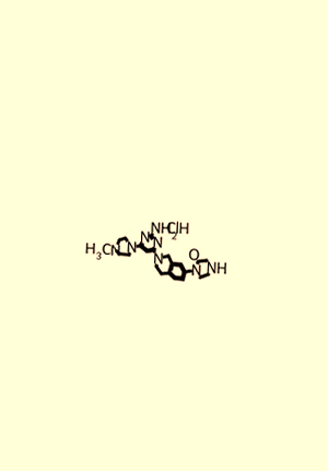 CN1CCN(c2cc(N3CCc4ccc(N5CCNCC5=O)cc4C3)nc(N)n2)CC1.Cl